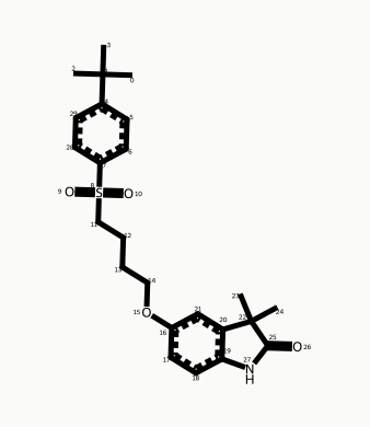 CC(C)(C)c1ccc(S(=O)(=O)CCCCOc2ccc3c(c2)C(C)(C)C(=O)N3)cc1